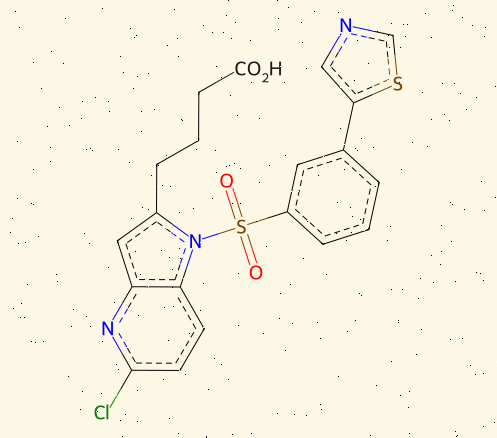 O=C(O)CCCc1cc2nc(Cl)ccc2n1S(=O)(=O)c1cccc(-c2cncs2)c1